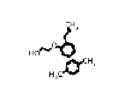 C=CCc1ccccc1OCCO.Cc1ccc(C)cc1